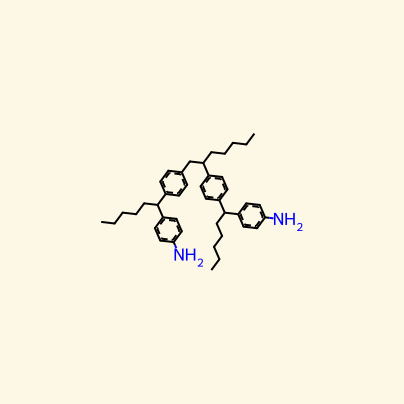 CCCCCC(Cc1ccc(C(CCCCC)c2ccc(N)cc2)cc1)c1ccc(C(CCCCC)c2ccc(N)cc2)cc1